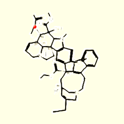 CCOC(=O)[C@]1(c2cc3c(cc2OC)N(C)C2C(O)(C(=O)OC)[C@H](OC(C)=O)[C@]4(CC)C=CCN5CC[C@]32[C@@H]54)C[C@@H]2C=C(CC)CN(CCC3=C1Bc1ccccc13)C2